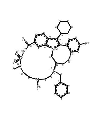 CCN1CCN(Cc2ccccc2)[C@H]2COc3cc(F)ccc3-c3c(C4CCCCC4)c4ccc(cc4n3C2)C(=O)NS(=O)(=O)N(C)CC1